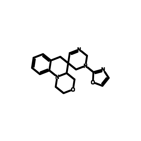 C1=NCN(c2ncco2)CC12Cc1ccccc1N1CCOCC12